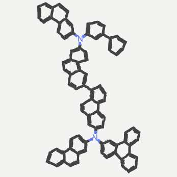 c1ccc(-c2cccc(N(c3ccc4c(ccc5ccccc54)c3)c3ccc4c(ccc5ccc(-c6cccc7c6ccc6cc(N(c8ccc9c(ccc%10ccccc%109)c8)c8ccc9c%10ccccc%10c%10ccccc%10c9c8)ccc67)cc54)c3)c2)cc1